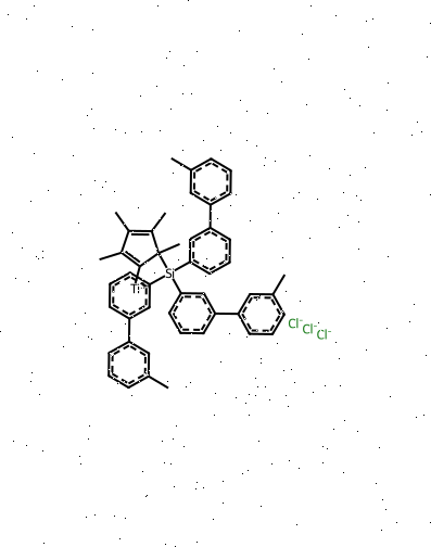 CC1=C(C)C(C)([Si](c2cccc(-c3cccc(C)c3)c2)(c2cccc(-c3cccc(C)c3)c2)c2cccc(-c3cccc(C)c3)c2)[C]([Ti+3])=C1C.[Cl-].[Cl-].[Cl-]